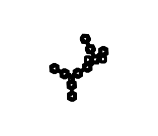 c1ccc(-c2ccc(-c3c4oc5cc(-c6ccc(N(c7ccc(-c8ccccc8)cc7)c7ccc(-c8ccccc8)cc7)cc6)ccc5c4cc4oc5ccccc5c34)cc2)cc1